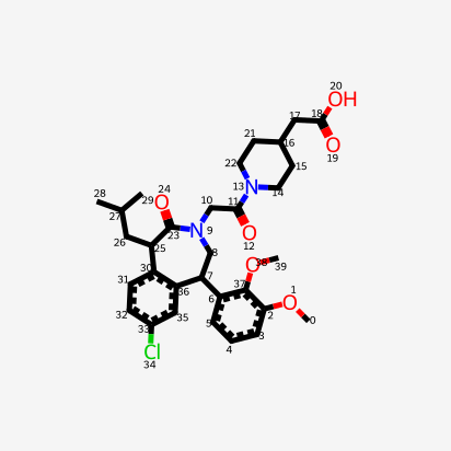 COc1cccc(C2CN(CC(=O)N3CCC(CC(=O)O)CC3)C(=O)C(CC(C)C)c3ccc(Cl)cc32)c1OC